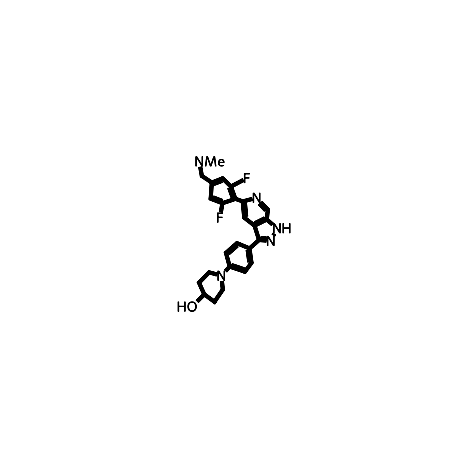 CNCc1cc(F)c(-c2cc3c(-c4ccc(N5CCC(O)CC5)cc4)n[nH]c3cn2)c(F)c1